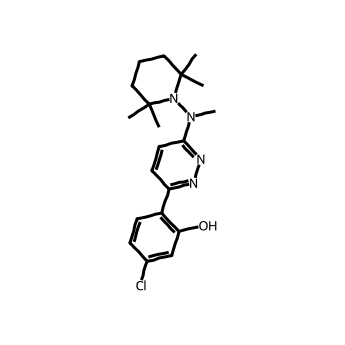 CN(c1ccc(-c2ccc(Cl)cc2O)nn1)N1C(C)(C)CCCC1(C)C